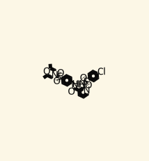 CC1CN(S(=O)(=O)c2ccc(NC(=O)c3cccnc3NS(=O)(=O)c3ccc(Cl)cc3)cc2)CC(C)O1